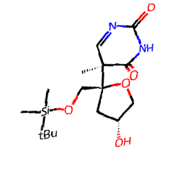 CC(C)(C)[Si](C)(C)OC[C@]1([C@@]2(C)C=NC(=O)NC2=O)C[C@@H](O)CO1